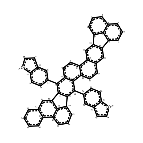 c1cc2c3c(cccc3c1)-c1cc3c(ccc4c3ccc3c(-c5ccc6occc6c5)c5c(c(-c6ccc7occc7c6)c34)-c3cccc4c3c-5cc3ccccc34)cc1-2